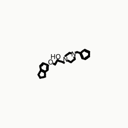 OC(COc1ccc2c(c1)CCC2)CN1CCN(Cc2ccccc2)CC1